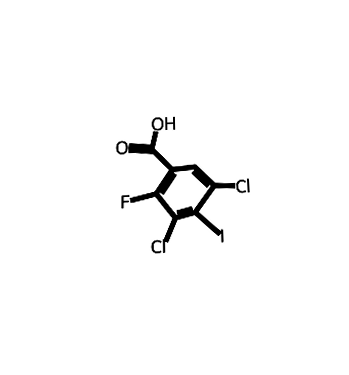 O=C(O)c1cc(Cl)c(I)c(Cl)c1F